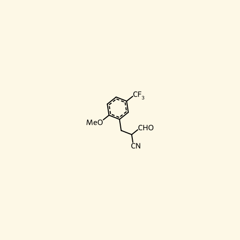 COc1ccc(C(F)(F)F)cc1CC(C#N)C=O